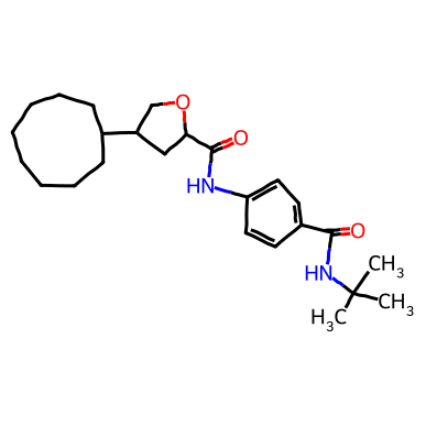 CC(C)(C)NC(=O)c1ccc(NC(=O)C2CC(C3CCCCCCCC3)CO2)cc1